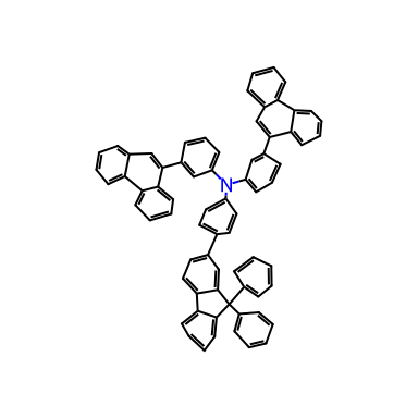 c1ccc(C2(c3ccccc3)c3ccccc3-c3ccc(-c4ccc(N(c5cccc(-c6cc7ccccc7c7ccccc67)c5)c5cccc(-c6cc7ccccc7c7ccccc67)c5)cc4)cc32)cc1